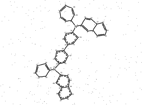 C1=CC=CC(N(C2=CC3C=CC=CC3C=C2)c2ccc(-c3ccc(N(C4=CC=CCC4)c4ccc5ccccc5c4)cc3)cc2)C=C1